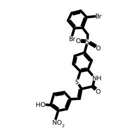 O=C1Nc2cc(S(=O)(=O)Cc3c(Br)cccc3Br)ccc2S/C1=C\c1ccc(O)c([N+](=O)[O-])c1